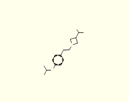 CC(C)Oc1ccc(CCN2CC(C(F)F)C2)cc1